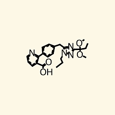 CCCn1nc(C(CC)(OC)OC)nc1Cc1ccc(-c2ncccc2C(=O)O)cc1